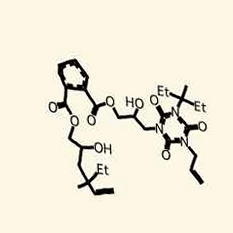 C=CCn1c(=O)n(CC(O)COC(=O)c2ccccc2C(=O)OCC(O)CC(C)(C=C)CC)c(=O)n(C(C)(CC)CC)c1=O